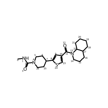 CNC(=O)N1CCC(c2cc(C(=O)N3CCCC4CCCCC43)cs2)CC1